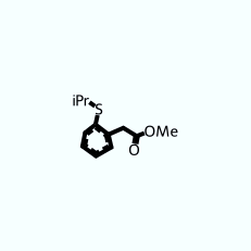 COC(=O)Cc1ccccc1SC(C)C